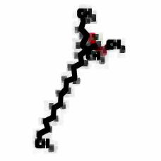 CCCCCCCCCCCCCCC(C)(CCCCC)C(=O)OC